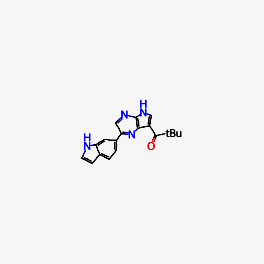 CC(C)(C)C(=O)c1c[nH]c2ncc(-c3ccc4cc[nH]c4c3)nc12